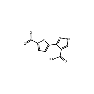 NC(=O)c1c[nH]nc1-c1ccc([N+](=O)[O-])o1